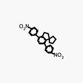 O=[N+]([O-])c1ccc(-c2ccc(-c3ccc([N+](=O)[O-])cc3)c3c2CCC32CCCC2)cc1